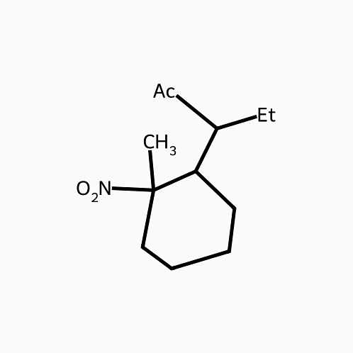 CCC(C(C)=O)C1CCCCC1(C)[N+](=O)[O-]